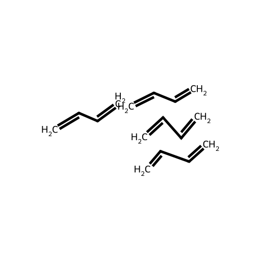 C=CC=C.C=CC=C.C=CC=C.C=CC=C